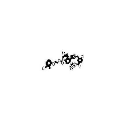 Cc1c(Cl)cccc1OCCOC(=O)N1C[C@@H]2C[C@@H]2c2c(-c3cnn(Cc4cc(C(=O)NOS(C)(=O)=O)ccc4Cl)c3)cccc21